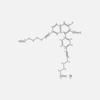 CCCCCCCCCCCCCCC#Cc1ccc(N=C(C)C(CCCCC)=Nc2ccc(C#CCCCCCCCCCCCCCC)cc2)cc1.[Ni]